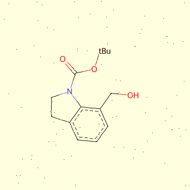 CC(C)(C)OC(=O)N1CCc2cccc(CO)c21